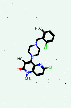 Cc1cccc(Cl)c1CN1CCN(c2c(C#N)c(=O)n(C)c3ccc(Cl)nc23)CC1